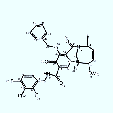 CO[C@@H]1C=C[C@H](C)N2C[C@H]1n1cc(C(=O)NCc3ccc(F)c(Cl)c3F)c(=O)c(OCc3ccccc3)c1C2=O